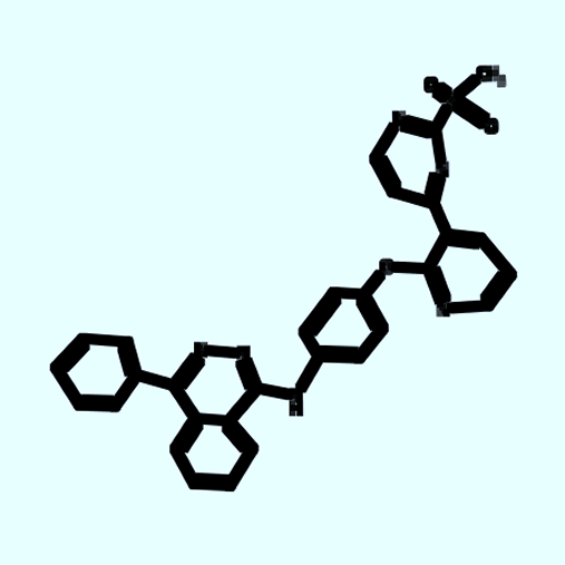 CS(=O)(=O)c1nccc(-c2cccnc2Oc2ccc(Nc3nnc(-c4ccccc4)c4ccccc34)cc2)n1